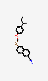 CCC(C)c1ccc(OCSc2ccc3cc(C#N)ccc3c2)cc1